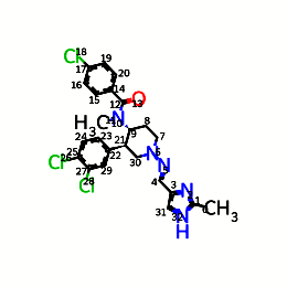 Cc1nc(C=NN2CC[C@@H](N(C)C(=O)c3ccc(Cl)cc3)[C@H](c3ccc(Cl)c(Cl)c3)C2)c[nH]1